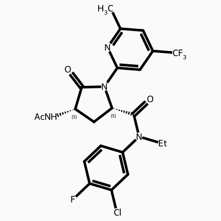 CCN(C(=O)[C@@H]1C[C@H](NC(C)=O)C(=O)N1c1cc(C(F)(F)F)cc(C)n1)c1ccc(F)c(Cl)c1